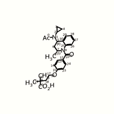 CC(=O)N(C1CC1)[C@@H]1C[C@H](C)N(C(=O)c2ccc(OCCC(C)(C)C(=O)O)cc2)c2ccccc21